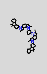 Cc1cc2c(ccc3cc(C)n(-c4cccc(-n5c(C)cc6ccc7c(cc(C)n7-c7ccc8c(c7)-c7ccccc7C8(C)C)c65)c4)c32)n1-c1ccc2c(c1)-c1ccccc1C2(C)C